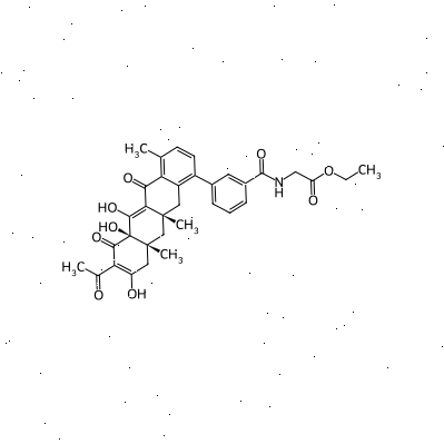 CCOC(=O)CNC(=O)c1cccc(-c2ccc(C)c3c2C[C@]2(C)C[C@]4(C)CC(O)=C(C(C)=O)C(=O)[C@]4(O)C(O)=C2C3=O)c1